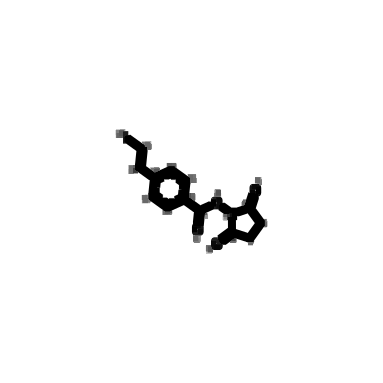 O=C(ON1C(=O)CCC1=O)c1ccc(C=CI)cc1